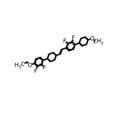 CCOc1ccc(C2CCC(/C=C/c3ccc(C4CCC(OC)CC4)c(F)c3F)CC2)c(F)c1F